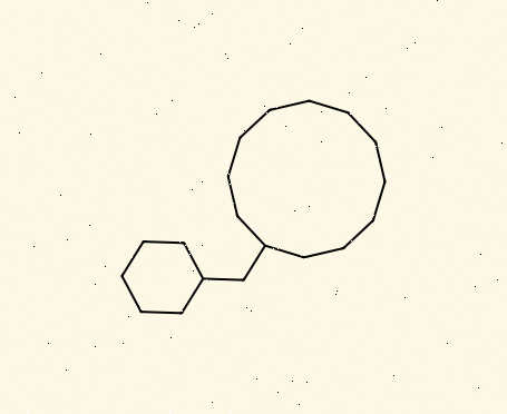 C1CCCCCC(CC2CCCCC2)CCCCC1